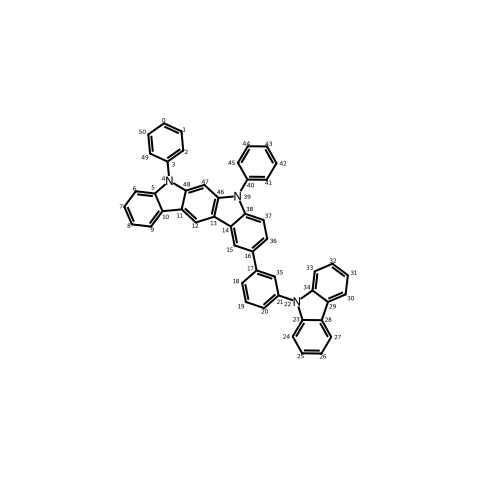 c1ccc(-n2c3ccccc3c3cc4c5cc(-c6cccc(-n7c8ccccc8c8ccccc87)c6)ccc5n(-c5ccccc5)c4cc32)cc1